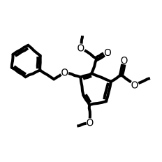 COC(=O)c1cc(OC)cc(OCc2ccccc2)c1C(=O)OC